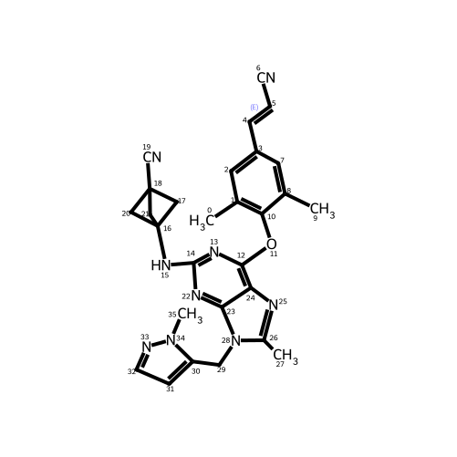 Cc1cc(/C=C/C#N)cc(C)c1Oc1nc(NC23CC(C#N)(C2)C3)nc2c1nc(C)n2Cc1ccnn1C